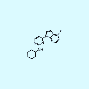 Fc1cccc2c1ccn2-c1ccnc(NC2CCCCC2)n1